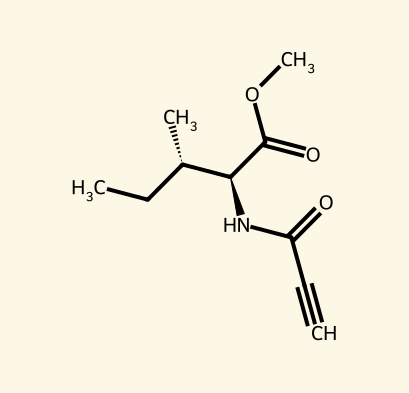 C#CC(=O)N[C@H](C(=O)OC)[C@@H](C)CC